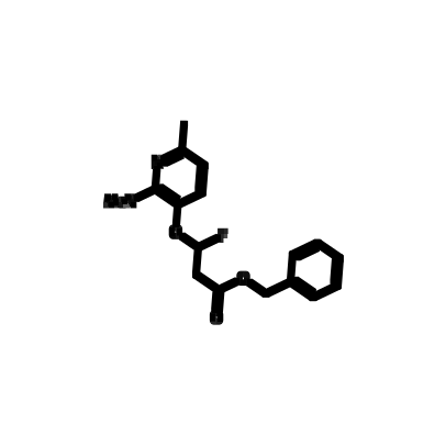 CNc1nc(C)ccc1OC(F)CC(=O)OCc1ccccc1